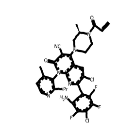 C=CC(=O)N1CCN(c2c(C#N)c(=O)n(-c3c(C)ccnc3C(C)C)c3nc(-c4c(N)c(F)c(Cl)c(F)c4F)c(Cl)cc23)C[C@H]1C